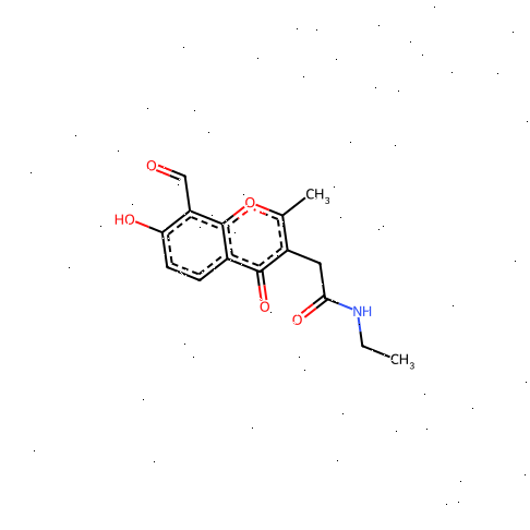 CCNC(=O)Cc1c(C)oc2c(C=O)c(O)ccc2c1=O